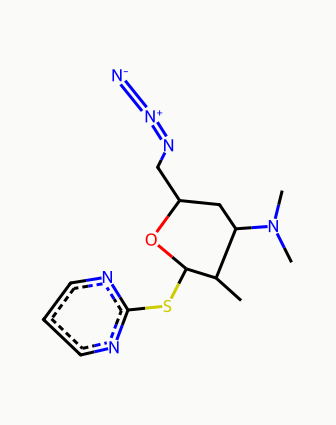 CC1C(Sc2ncccn2)OC(CN=[N+]=[N-])CC1N(C)C